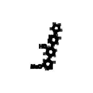 COc1cc(-c2ccc(-c3ccc(N4CCCC4)nn3)c(O)c2)cnn1